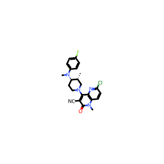 C[C@@H]1CN(c2c(C#N)c(=O)n(C)c3ccc(Cl)nc23)CC[C@@H]1N(C)c1ccc(F)cc1